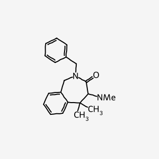 CNC1C(=O)N(Cc2ccccc2)Cc2ccccc2C1(C)C